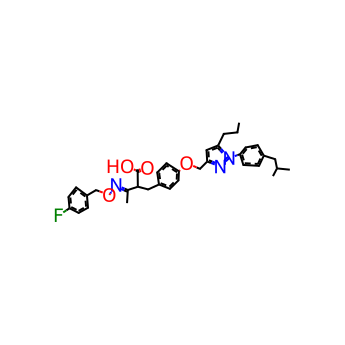 CCCc1cc(COc2ccc(CC(C(=O)O)/C(C)=N/OCc3ccc(F)cc3)cc2)nn1-c1ccc(CC(C)C)cc1